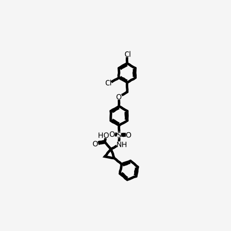 O=C(O)C1(NS(=O)(=O)c2ccc(OCc3ccc(Cl)cc3Cl)cc2)CC1c1ccccc1